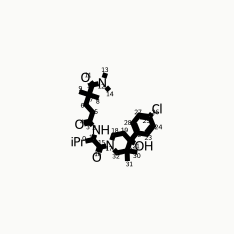 CC(C)C(NC(=O)CCC(C)(C)C(=O)N(C)C)C(=O)N1CCC(O)(c2ccc(Cl)cc2)C(C)(C)C1